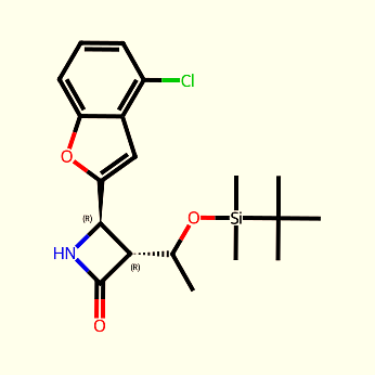 CC(O[Si](C)(C)C(C)(C)C)[C@@H]1C(=O)N[C@H]1c1cc2c(Cl)cccc2o1